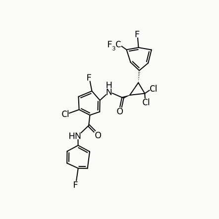 O=C(Nc1ccc(F)cc1)c1cc(NC(=O)[C@H]2[C@H](c3ccc(F)c(C(F)(F)F)c3)C2(Cl)Cl)c(F)cc1Cl